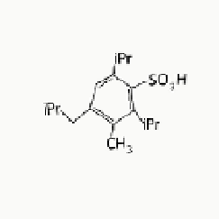 Cc1c(CC(C)C)cc(C(C)C)c(S(=O)(=O)O)c1C(C)C